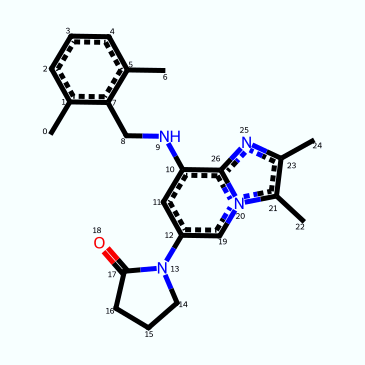 Cc1cccc(C)c1CNc1cc(N2CCCC2=O)cn2c(C)c(C)nc12